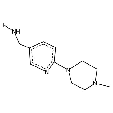 CN1CCN(c2ccc(CNI)cn2)CC1